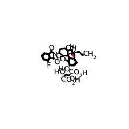 C=CCN1CC[C@]23c4c5ccc(O)c4O[C@H]2[C@@H](N2C(=O)c4cccc(F)c4C2=O)CC[C@@]3(O)[C@H]1C5.O=C(O)C(O)C(O)C(=O)O